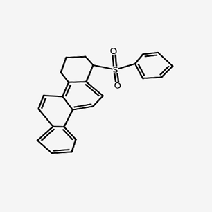 O=S(=O)(c1ccccc1)C1CCCc2c1ccc1c2ccc2ccccc21